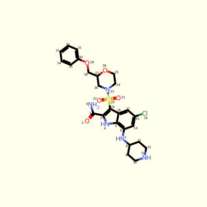 NC(=O)c1[nH]c2c(NC3CCNCC3)cc(Cl)cc2c1S(=O)(=O)N1CCOC(COc2ccccc2)C1